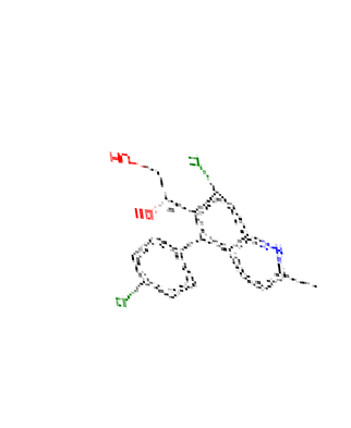 Cc1ccc2c(-c3ccc(Cl)cc3)c([C@H](O)CO)c(Cl)cc2n1